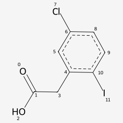 O=C(O)Cc1cc(Cl)ccc1I